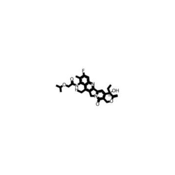 C=C1OCc2c(cc3n(c2=O)Cc2c-3nc3cc(F)c(C)c(NC(=O)COC(C)C)c3c2CC)[C@@]1(O)CC